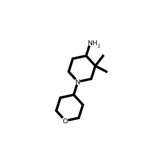 CC1(C)CN(C2CCOCC2)CCC1N